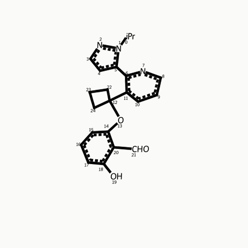 CC(C)n1nccc1-c1ncccc1C1(Oc2cccc(O)c2C=O)CCC1